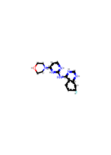 Fc1ccc2c(Nc3nccc(N4CCOCC4)n3)ncnc2c1